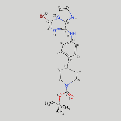 CC(C)(C)OC(=O)N1CCC(c2ccc(Nc3ncc(Br)n4ccnc34)cc2)CC1